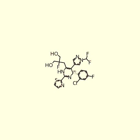 OCC(F)(CO)CC1=C(c2cnn(C(F)F)c2)[C@H](c2ccc(F)cc2Cl)N=C(c2nccs2)N1